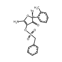 [2H][C@]1(c2ccccc2C)OC(N)=C(OS(=O)(=O)Cc2ccccc2)C1=O